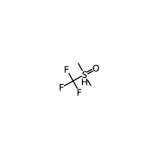 C[SH](C)(=O)C(F)(F)F